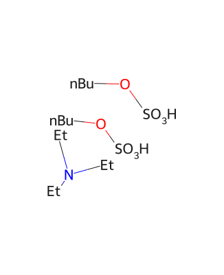 CCCCOS(=O)(=O)O.CCCCOS(=O)(=O)O.CCN(CC)CC